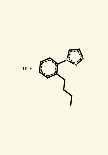 CCCCc1ccccc1-n1ccnn1.I.I